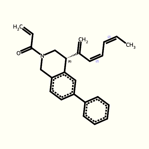 C=CC(=O)N1Cc2ccc(-c3ccccc3)cc2[C@@H](C(=C)/C=C\C=C/C)C1